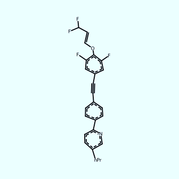 CCCc1ccc(-c2ccc(C#Cc3cc(F)c(O/C=C/C(F)F)c(F)c3)cc2)nc1